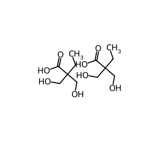 CCC(CO)(CO)C(=O)O.CCC(CO)(CO)C(=O)O